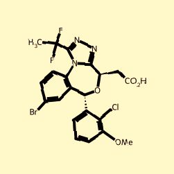 COc1cccc([C@H]2O[C@H](CC(=O)O)c3nnc(C(C)(F)F)n3-c3ccc(Br)cc32)c1Cl